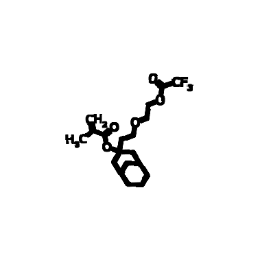 C=C(C)C(=O)OC1(CCOCCOC(=O)C(F)(F)F)CC2CCCC(C2)C1